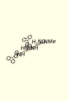 CNOC[C@@H](N)CCCCNOC[C@H](CCCCNC(=O)OCC1c2ccccc2-c2ccccc21)NC(=O)OCC1c2ccccc2-c2ccccc21